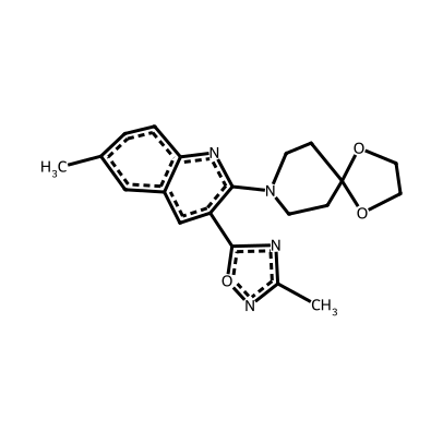 Cc1ccc2nc(N3CCC4(CC3)OCCO4)c(-c3nc(C)no3)cc2c1